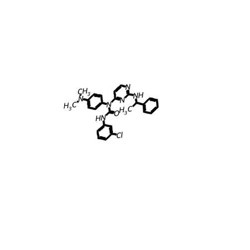 CC(Nc1nccc(N(C(=O)Nc2cccc(Cl)c2)c2ccc(N(C)C)cc2)n1)c1ccccc1